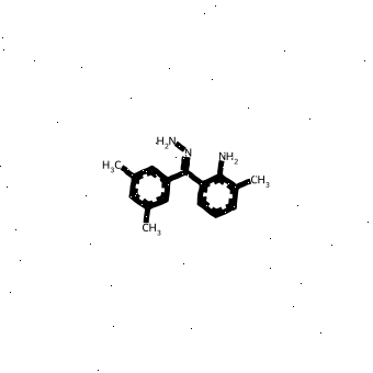 Cc1cc(C)cc(/C(=N\N)c2cccc(C)c2N)c1